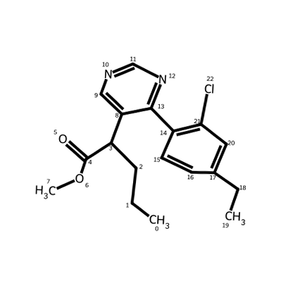 CCCC(C(=O)OC)c1cncnc1-c1ccc(CC)cc1Cl